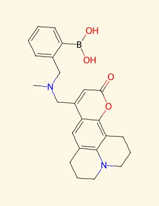 CN(Cc1ccccc1B(O)O)Cc1cc(=O)oc2c3c4c(cc12)CCCN4CCC3